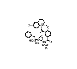 CCCC[C@@](O)(Cc1ccccc1)[C@@H]1CC[C@H]1CN1C[C@@]2(CCCc3cc(Cl)ccc32)COc2ccc(C(=O)NS(=O)(=O)C(C)C)cc21